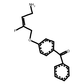 NC/C=C(/F)COc1ccc(C(=O)c2ccccc2)cc1